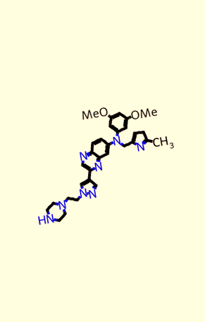 COc1cc(OC)cc(N(CC2=CCC(C)=N2)c2ccc3ncc(-c4cnn(CCN5CCNCC5)c4)nc3c2)c1